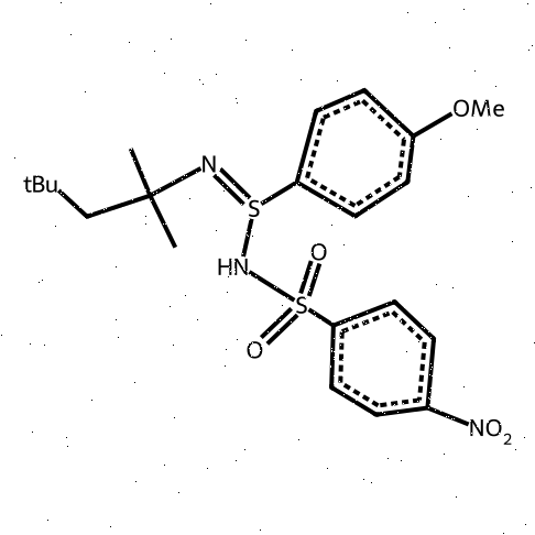 COc1ccc(S(=NC(C)(C)CC(C)(C)C)NS(=O)(=O)c2ccc([N+](=O)[O-])cc2)cc1